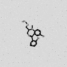 CCCOCC1CN=C(c2ccccc2Br)c2cc(Br)ccc2N1C